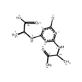 CC(Nc1nc(Cl)nc(NC(C)C(=O)O)n1)C(=O)O